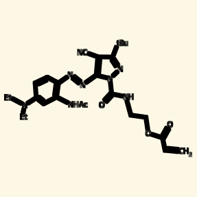 C=CC(=O)OCCNC(=O)n1nc(C(C)(C)C)c(C#N)c1N=Nc1ccc(N(CC)CC)cc1NC(C)=O